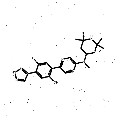 CN(c1cnc(-c2cc(F)c(-c3cn[nH]c3)cc2O)cn1)C1CC(C)(C)NC(C)(C)C1